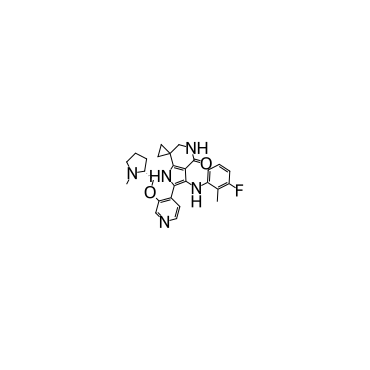 Cc1c(F)cccc1Nc1c(-c2ccncc2OC[C@H]2CCCN2C)[nH]c2c1C(=O)NCC21CC1